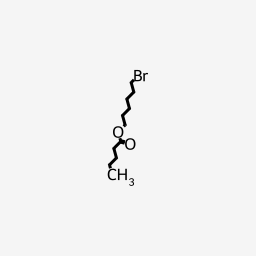 CCCCC(=O)OCCCCCCBr